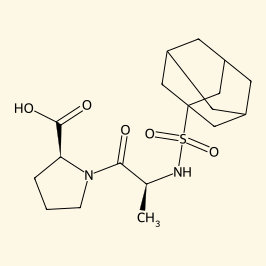 C[C@H](NS(=O)(=O)C12CC3CC(CC(C3)C1)C2)C(=O)N1CCC[C@H]1C(=O)O